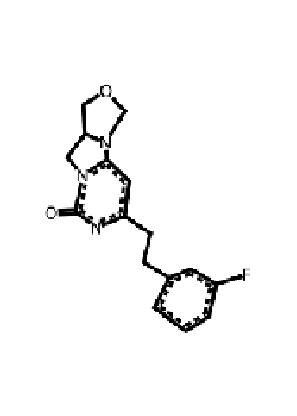 O=c1nc(CCc2cccc(F)c2)cc2n1CC1COCN21